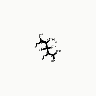 CC(=C(F)F)C(F)(F)C(F)C(F)F